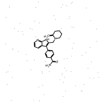 C=C1CCCCN1Cc1[nH]c2ncccc2c1-c1ccc(C(N)=O)cc1